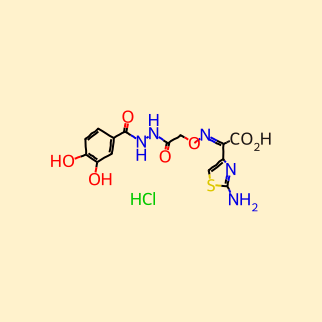 Cl.Nc1nc(C(=NOCC(=O)NNC(=O)c2ccc(O)c(O)c2)C(=O)O)cs1